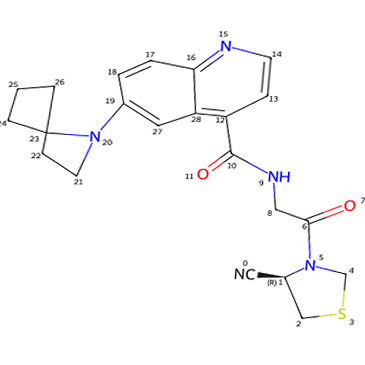 N#C[C@@H]1CSCN1C(=O)CNC(=O)c1ccnc2ccc(N3CCC34CCC4)cc12